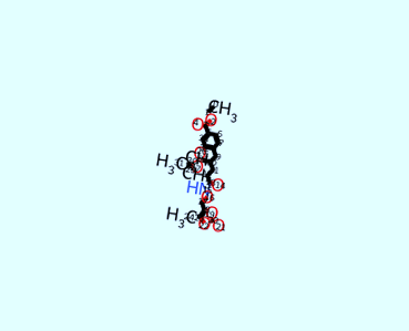 CCOC(=O)c1ccc(CC(CCC(=O)NOCc2oc(=O)oc2C)C(=O)OC(C)(C)C)cc1